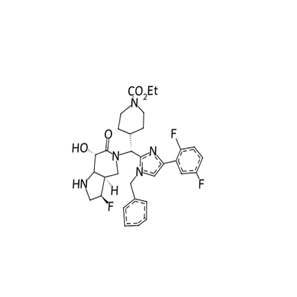 CCOC(=O)N1CCC([C@H](c2nc(-c3cc(F)ccc3F)cn2Cc2ccccc2)N2C[C@@H]3C(NC[C@@H]3F)[C@H](O)C2=O)CC1